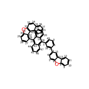 c1cc(-c2ccc3oc4ccccc4c3c2)cc(-c2c3ccccc3c(-c3cccc4oc5ccc6ccccc6c5c34)c3ccccc23)c1